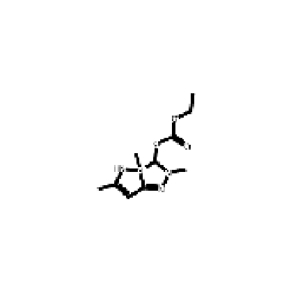 CCOC(=O)OC1N(C)N=C2C=C(C)N[N+]21C